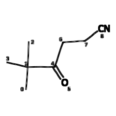 CC(C)(C)C(=O)CCC#N